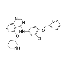 Clc1cc(Nc2ncnc3cccc(O[C@H]4CCCNC4)c23)ccc1OCc1ccccn1